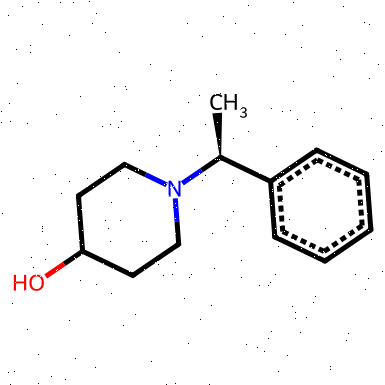 C[C@@H](c1ccccc1)N1CCC(O)CC1